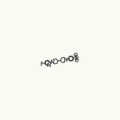 CS(=O)(=O)c1ccc(N2CCC(C3CCN(c4ccc(F)cn4)CC3)CC2)cc1